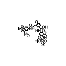 COc1ccc(C(Nc2ccc3c(N(C(=O)OC(C)(C)C)C(=O)OC(C)(C)C)ncc(F)c3c2)C(=O)O)cc1CCC(=O)Nc1ccc(S(=O)(=O)C2CC2)c(CN(C)C=O)c1